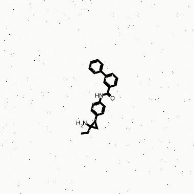 CCC1(N)CC1c1ccc(NC(=O)c2cccc(-c3ccccc3)c2)cc1